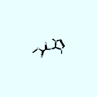 COC(=O)C(=O)OC1N(C)C=CN1C